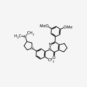 COc1cc(OC)cc(-c2nn(-c3cc(N4CCC(N(C)C)C4)ccc3C(F)(F)F)c(=O)c3c2CCC3)c1